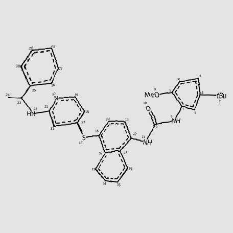 COc1ccc(C(C)(C)C)cc1NC(=O)Nc1ccc(Sc2ccnc(NC(C)c3ccccc3)c2)c2ccccc12